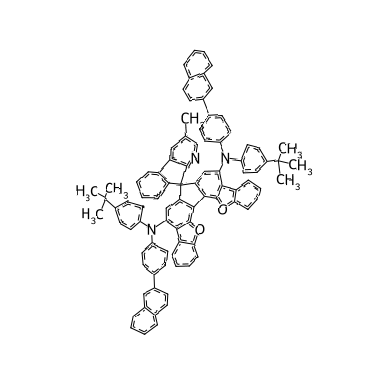 Cc1cnc2c(c1)-c1ccccc1C21c2cc(N(c3ccc(-c4ccc5ccccc5c4)cc3)c3ccc(C(C)(C)C)cc3)c3c(oc4ccccc43)c2-c2c1cc(N(c1ccc(-c3ccc4ccccc4c3)cc1)c1ccc(C(C)(C)C)cc1)c1c2oc2ccccc21